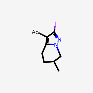 CC(=O)c1c(I)nn2c1CCC(C)C2